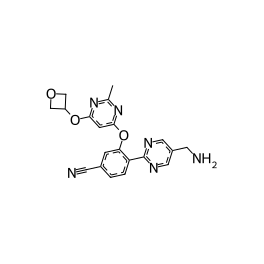 Cc1nc(Oc2cc(C#N)ccc2-c2ncc(CN)cn2)cc(OC2COC2)n1